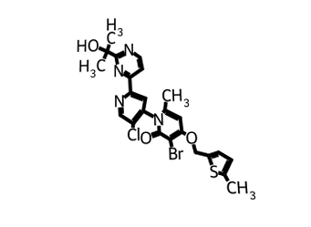 Cc1ccc(COc2cc(C)n(-c3cc(-c4ccnc(C(C)(C)O)n4)ncc3Cl)c(=O)c2Br)s1